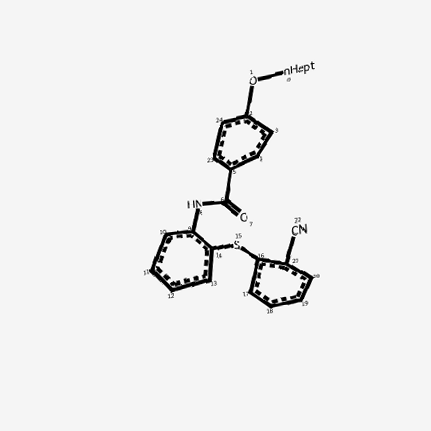 CCCCCCCOc1ccc(C(=O)Nc2ccccc2Sc2ccccc2C#N)cc1